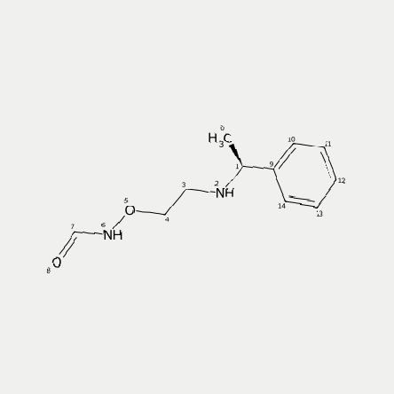 C[C@H](NCCONC=O)c1ccccc1